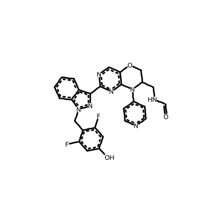 O=CNCC1COc2cnc(-c3nn(Cc4c(F)cc(O)cc4F)c4ccccc34)nc2N1c1ccncc1